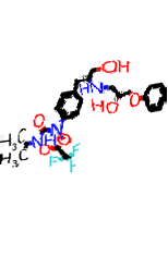 CC(C)NC(=O)N(OC(=O)C(F)(F)F)c1ccc(C[C@@H](CO)NC[C@H](O)COc2ccccc2)cc1